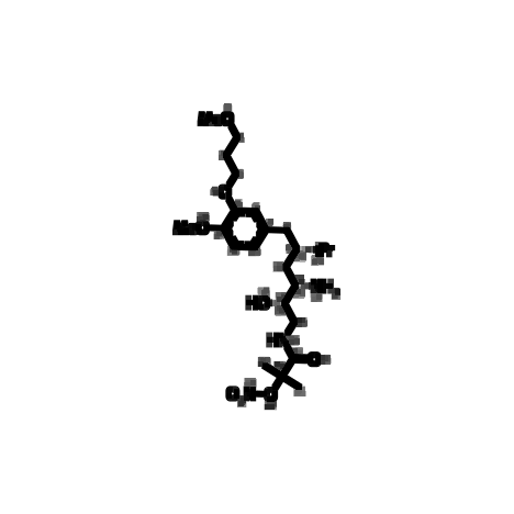 COCCCOc1cc(C[C@@H](C[C@H](N)[C@@H](O)CNC(=O)C(C)(C)O[N+](=O)[O-])C(C)C)ccc1OC